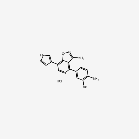 CC(=O)c1cc(-c2ncc(-c3cn[nH]c3)c3onc(N)c23)ccc1N.Cl